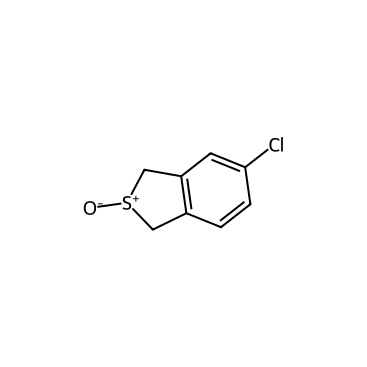 [O-][S+]1Cc2ccc(Cl)cc2C1